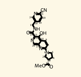 COC(=O)[C@H]1CCN(c2ccc3c(O)c(C(=O)NCc4ccc(C#N)nc4)ncc3n2)C1